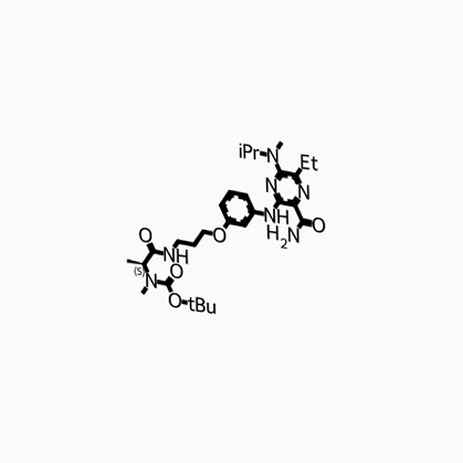 CCc1nc(C(N)=O)c(Nc2cccc(OCCCNC(=O)[C@H](C)N(C)C(=O)OC(C)(C)C)c2)nc1N(C)C(C)C